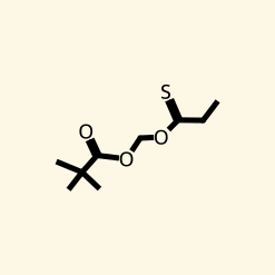 CCC(=S)OCOC(=O)C(C)(C)C